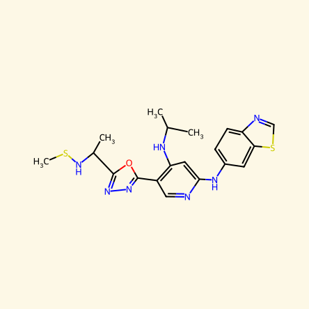 CSNC(C)c1nnc(-c2cnc(Nc3ccc4ncsc4c3)cc2NC(C)C)o1